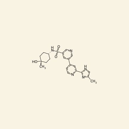 Cc1c[nH]c(-c2cc(-c3cncc(S(=O)(=O)N[C@H]4CC[C@@](C)(O)CC4)c3)ccn2)n1